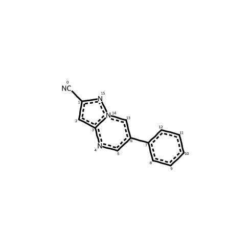 N#Cc1cc2ncc(-c3ccccc3)cn2n1